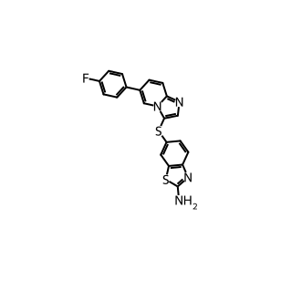 Nc1nc2ccc(Sc3cnc4ccc(-c5ccc(F)cc5)cn34)cc2s1